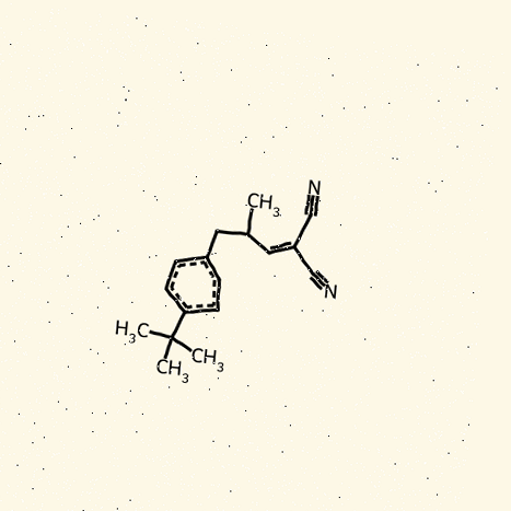 CC(C=C(C#N)C#N)Cc1ccc(C(C)(C)C)cc1